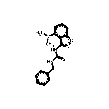 CN(C)c1cccc2onc(NC(=S)NCc3ccccc3)c12